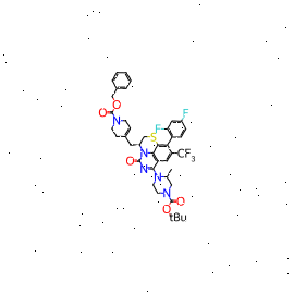 CC1CN(C(=O)OC(C)(C)C)CCN1c1nc(=O)n2c3c(c(-c4ccc(F)cc4F)c(C(F)(F)F)cc13)SC[C@@H]2CC1=CCN(C(=O)OCc2ccccc2)CC1